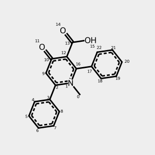 Cn1c(-c2ccccc2)cc(=O)c(C(=O)O)c1-c1ccccc1